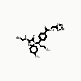 CC(C)(C)CC[C@H](c1ccc(C(=O)NCc2nn[nH]n2)cc1)N1C(=O)C(NCC(C)(C)C)=NC12CCC(C(C)(C)C)CC2